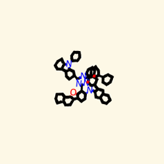 c1ccc(-c2cccc(-c3nc(-c4ccc5c6ccccc6n(-c6ccccc6)c5c4)nc(-c4c(-n5c6cc7ccccc7cc6c6cc7ccccc7cc65)ccc5c4oc4c6ccccc6ccc54)n3)c2)cc1